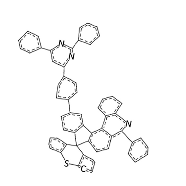 c1ccc(-c2cc(-c3ccc(-c4ccc5c(c4)-c4c(ccc6c(-c7ccccc7)nc7ccccc7c46)C54c5ccccc5Sc5ccccc54)cc3)nc(-c3ccccc3)n2)cc1